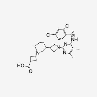 Cc1nc(N2CC(C3CCCN(C4CC(C(=O)O)C4)C3)C2)nc(N[C@H](C)c2ccc(Cl)cc2Cl)c1C